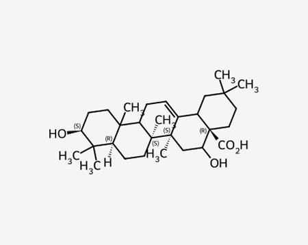 CC1(C)CC[C@]2(C(=O)O)C(O)C[C@]3(C)C(=CCC4C5(C)CC[C@H](O)C(C)(C)[C@@H]5CC[C@@]43C)C2C1